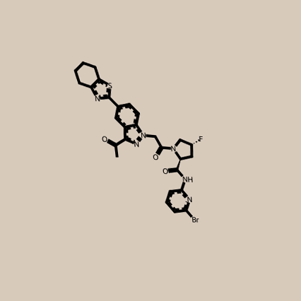 CC(=O)c1nn(CC(=O)N2C[C@H](F)C[C@H]2C(=O)Nc2cccc(Br)n2)c2ccc(-c3nc4c(s3)CCCC4)cc12